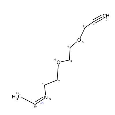 C#CCOCCOCC/N=C\C